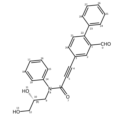 O=Cc1cc(C#CC(=O)N(C[C@@H](O)CO)c2ccccc2)ccc1-c1ccccc1